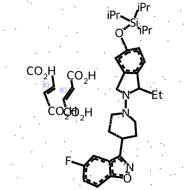 CCC1c2ccc(O[Si](C(C)C)(C(C)C)C(C)C)cc2CN1N1CCC(c2noc3ccc(F)cc23)CC1.O=C(O)/C=C/C(=O)O.O=C(O)/C=C/C(=O)O